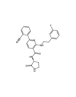 N#Cc1ccccc1-c1ccc(C(=O)N[C@H]2CCNC2=O)c(NCCc2cccc(F)c2)n1